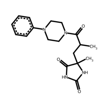 CC(CC1(C)NC(=O)NC1=O)C(=O)N1CCN(c2ccccc2)CC1